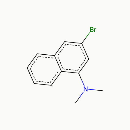 CN(C)c1cc(Br)cc2ccccc12